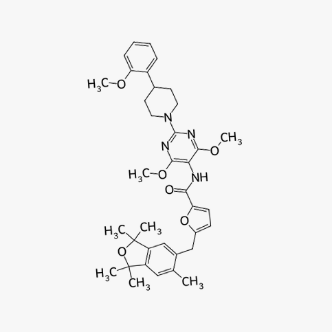 COc1ccccc1C1CCN(c2nc(OC)c(NC(=O)c3ccc(Cc4cc5c(cc4C)C(C)(C)OC5(C)C)o3)c(OC)n2)CC1